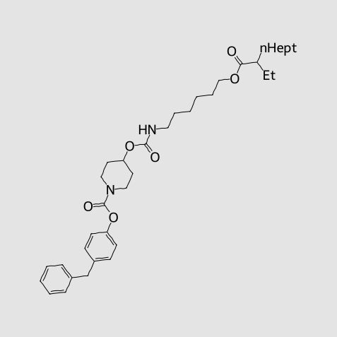 CCCCCCCC(CC)C(=O)OCCCCCCNC(=O)OC1CCN(C(=O)Oc2ccc(Cc3ccccc3)cc2)CC1